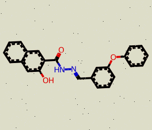 O=C(NN=Cc1cccc(Oc2ccccc2)c1)c1cc2ccccc2cc1O